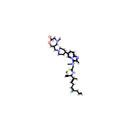 C#CC(/N=C(/CN(C)c1c(C)nc2ccc(C3CCN(CC4COC(=O)CN(C)C4)CC3)cn12)SC)/C(C)=C/C/C=C(/F)CC=C